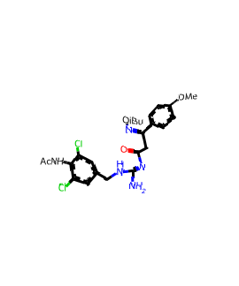 COc1ccc(/C(CC(=O)/N=C(/N)NCc2cc(Cl)c(NC(C)=O)c(Cl)c2)=N\OCC(C)C)cc1